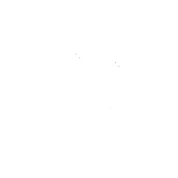 CCCC/N=C(/NCCCC)c1ccccc1